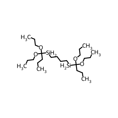 CCCOC(CCC)(OCCC)[SiH2]CCCC[SiH2]C(CCC)(OCCC)OCCC